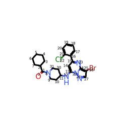 O=C(C1CCCCC1)N1CCC(Nc2cc(-c3ccccc3Cl)nc3c(Br)cnn23)CC1